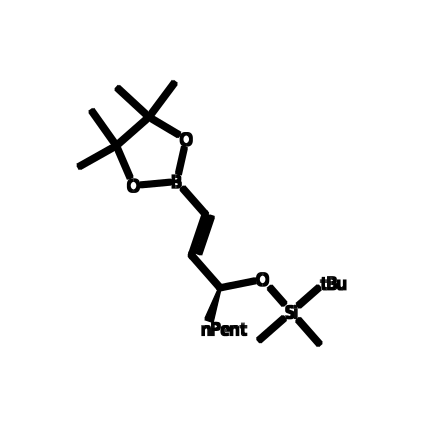 CCCCC[C@@H](C=CB1OC(C)(C)C(C)(C)O1)O[Si](C)(C)C(C)(C)C